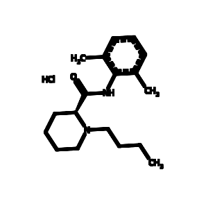 CCCCN1CCCC[C@H]1C(=O)Nc1c(C)cccc1C.Cl